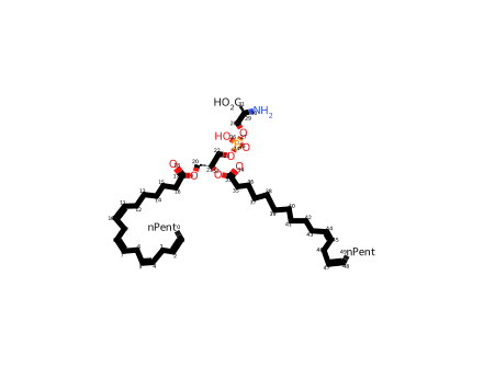 CCCCC/C=C\C/C=C\C/C=C\C/C=C\CCCCCC(=O)OC[C@H](COP(=O)(O)OC[C@H](N)C(=O)O)OC(=O)CCCCCCCCC/C=C\C/C=C\CCCCC